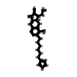 O=C1NC2=Nc3ccc(OCCCCCn4ccnc4)c(Cl)c3CN2C1CO